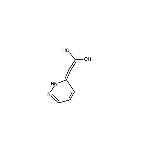 OC(O)=C=C1C=CC=NN1